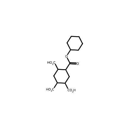 O=C(O)C1CC(C(=O)O)C(C(=O)OC2CCCCC2)CC1C(=O)O